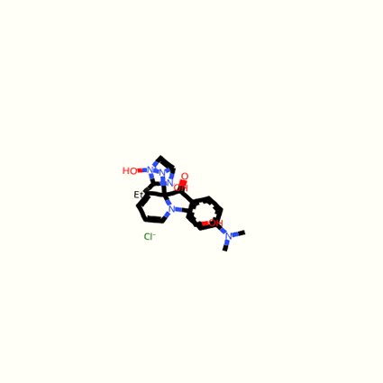 CCC1N(O)C2=C[N+]1(O)N2C1(C(=O)c2ccc(N(C)C)cc2)C=CC=CN1CCO.[Cl-]